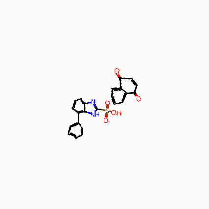 O=C1C=CC(=O)c2ccccc21.O=S(=O)(O)c1nc2cccc(-c3ccccc3)c2[nH]1